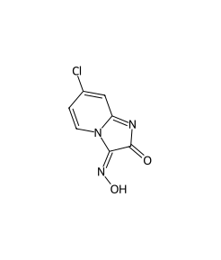 O=C1N=C2C=C(Cl)C=CN2/C1=N/O